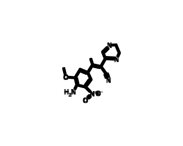 COc1cc(/C(C)=C(\C#N)C2=NCCN=C2)cc([N+](=O)[O-])c1N